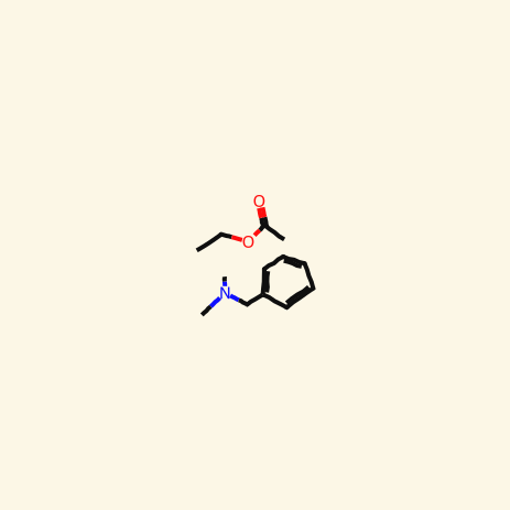 CCOC(C)=O.CN(C)Cc1ccccc1